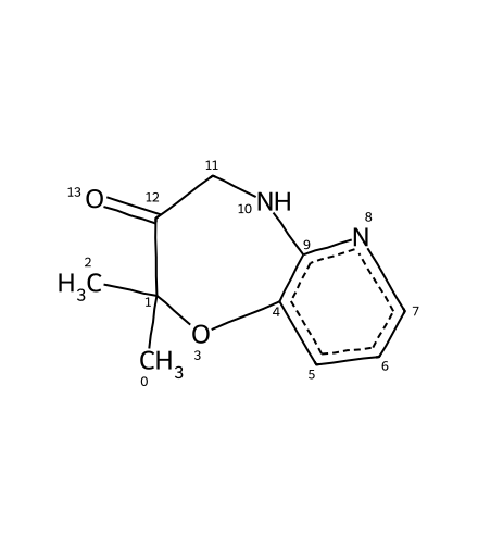 CC1(C)Oc2cccnc2NCC1=O